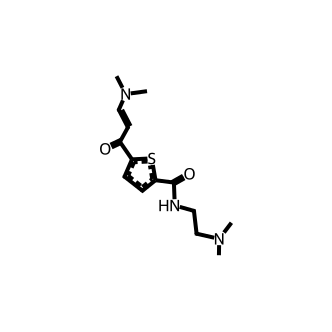 CN(C)C=CC(=O)c1ccc(C(=O)NCCN(C)C)s1